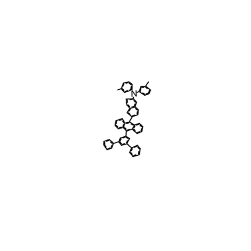 Cc1cccc(N(c2cccc(C)c2)c2ccc3cc(-c4c5ccccc5c(-c5cc(-c6ccccc6)cc(-c6ccccc6)c5)c5ccccc45)ccc3c2)c1